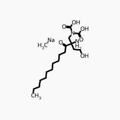 CCCCCCCCCCCC(=O)C(N)(CCO)CN(C(=O)O)C(=O)O.[CH3][Na]